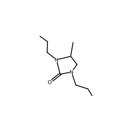 CCCN1CC(C)N(CCC)C1=O